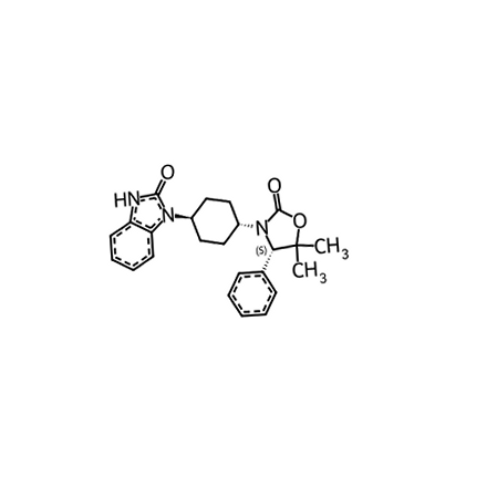 CC1(C)OC(=O)N([C@H]2CC[C@H](n3c(=O)[nH]c4ccccc43)CC2)[C@H]1c1ccccc1